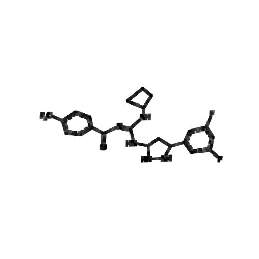 O=C(/N=C(/NC1CCC1)NC1CC(c2cc(F)cc(F)c2)NN1)c1ccc(C(F)(F)F)cc1